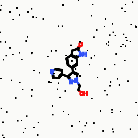 O=C1Cc2ccc(-c3cn(CCO)nc3-c3ccncc3)cc2N1